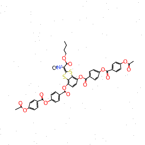 [C-]#[N+]C(C(=O)OCCCC)=C1Sc2c(OC(=O)c3ccc(OC(=O)c4ccc(OC(C)=O)cc4)cc3)ccc(OC(=O)c3ccc(OC(=O)c4ccc(OC(C)=O)cc4)cc3)c2S1